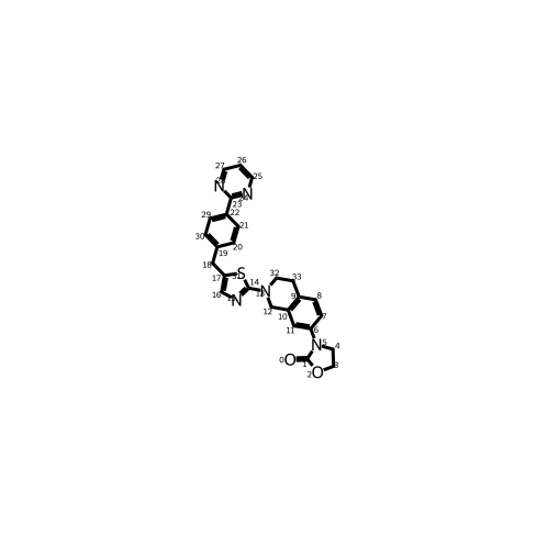 O=C1OCCN1c1ccc2c(c1)CN(c1ncc(Cc3ccc(-c4ncccn4)cc3)s1)CC2